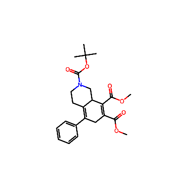 COC(=O)C1=C(C(=O)OC)C2CN(C(=O)OC(C)(C)C)CCC2=C(c2ccccc2)C1